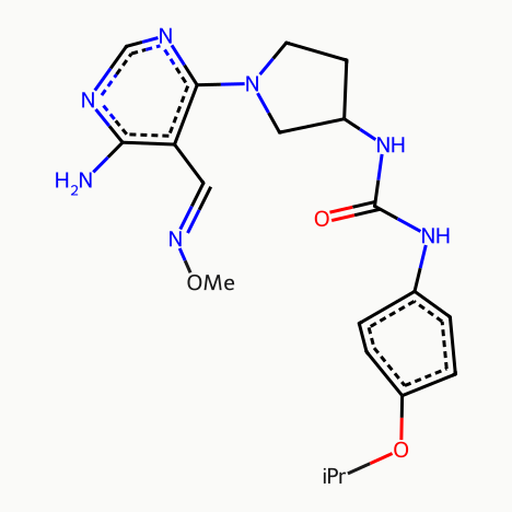 CON=Cc1c(N)ncnc1N1CCC(NC(=O)Nc2ccc(OC(C)C)cc2)C1